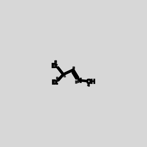 CCC(C=NO)CC